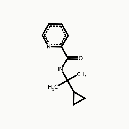 CC(C)(NC(=O)c1ccccn1)C1CC1